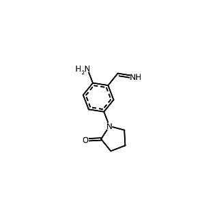 N=Cc1cc(N2CCCC2=O)ccc1N